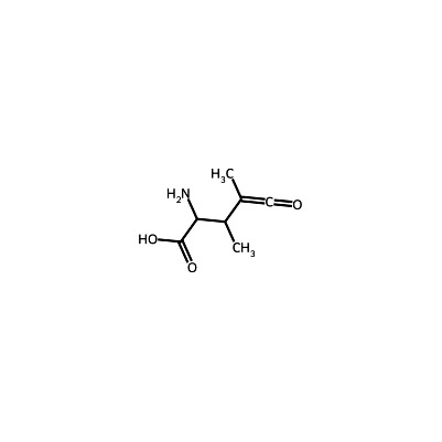 CC(=C=O)C(C)C(N)C(=O)O